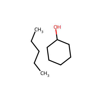 CCCCC.OC1CCCCC1